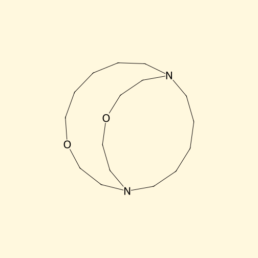 C1CCOCCN2CCCCCN(CC1)CCOCC2